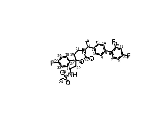 C[C@@H](c1ccc(-c2ccc(F)cc2F)cc1)N1CCC(CCNS(C)(=O)=O)(c2ccc(F)cc2)OC1=O